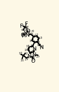 C[C@@H](NS(=O)(=O)CC(F)(F)F)c1ccc(C#N)c(-c2ccc3c(n2)n(C)c(=O)n3CC(C)(C)C)c1